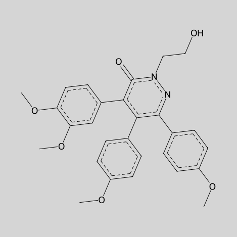 COc1ccc(-c2nn(CCO)c(=O)c(-c3ccc(OC)c(OC)c3)c2-c2ccc(OC)cc2)cc1